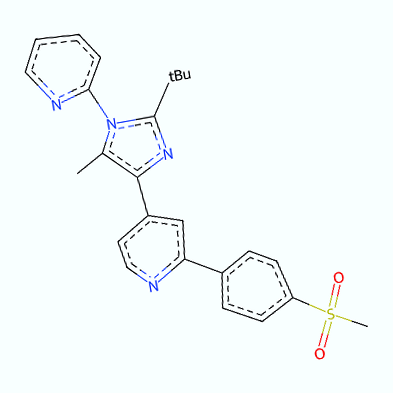 Cc1c(-c2ccnc(-c3ccc(S(C)(=O)=O)cc3)c2)nc(C(C)(C)C)n1-c1ccccn1